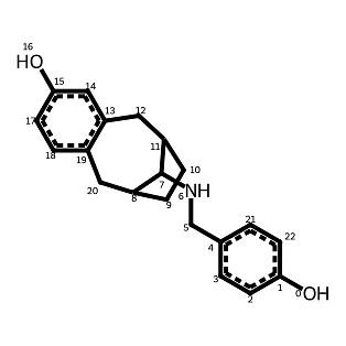 Oc1ccc(CNC2C3CCC2Cc2cc(O)ccc2C3)cc1